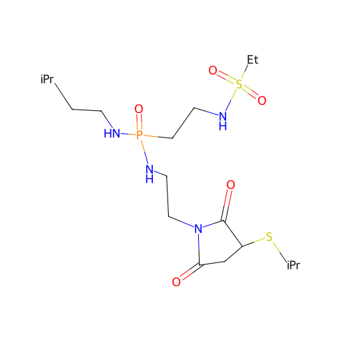 CCS(=O)(=O)NCCP(=O)(NCCC(C)C)NCCN1C(=O)CC(SC(C)C)C1=O